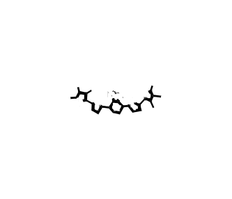 Cc1sc(-c2ccc(-c3ccc(-c4ccc(-c5sc(C)c(C)c5C)s4)c4nsnc34)s2)c(C)c1C